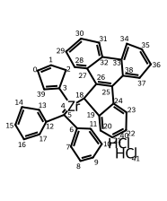 C1=CC[C]([Zr](=[C](c2ccccc2)c2ccccc2)[CH]2c3ccccc3-c3c2c2ccccc2c2ccccc32)=C1.Cl.Cl